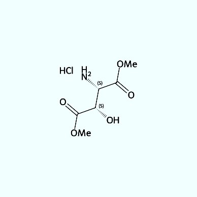 COC(=O)[C@@H](N)[C@H](O)C(=O)OC.Cl